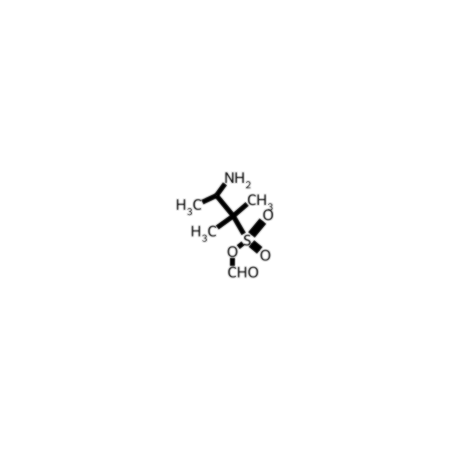 CC(N)C(C)(C)S(=O)(=O)OC=O